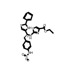 CCOC(=O)c1csc(N[C@@H](Cc2ccc(N[SH](=O)=O)cc2)C2=CSC(c3ccccc3)N2)n1